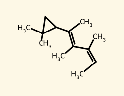 C/C=C(C)\C(C)=C(/C)C1CC1(C)C